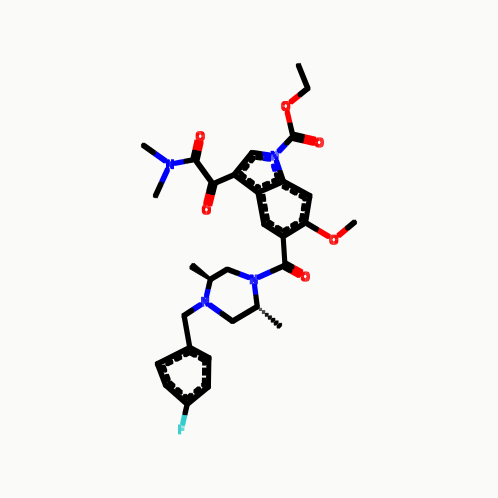 CCOC(=O)n1cc(C(=O)C(=O)N(C)C)c2cc(C(=O)N3C[C@H](C)N(Cc4ccc(F)cc4)C[C@H]3C)c(OC)cc21